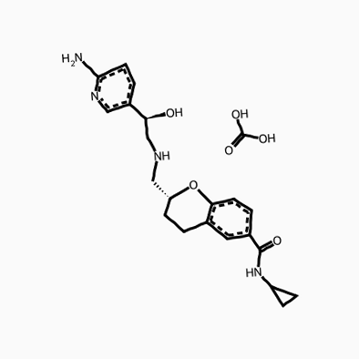 Nc1ccc([C@@H](O)CNC[C@H]2CCc3cc(C(=O)NC4CC4)ccc3O2)cn1.O=C(O)O